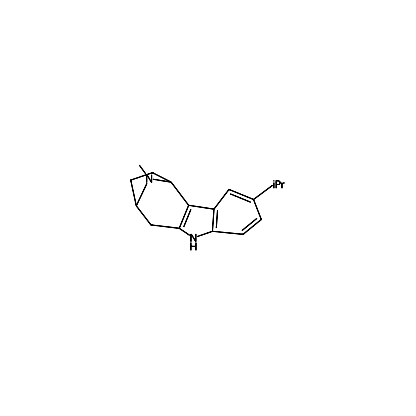 CC(C)c1ccc2[nH]c3c(c2c1)C1CCC(C3)N1C